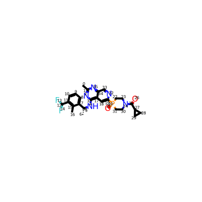 Cc1nc(N[C@H](C)c2cccc(C(F)F)c2C)c2cc(P3(=O)CCN(C(=O)C4CC4)CC3)ncc2n1